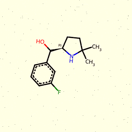 CC1(C)CC[C@H](C(O)c2cccc(F)c2)N1